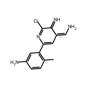 Cc1ccc(N)cc1C1=C/C(=C/N)C(=N)C(Cl)=N1